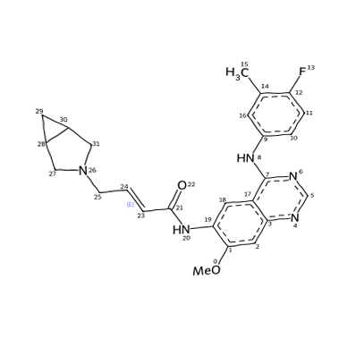 COc1cc2ncnc(Nc3ccc(F)c(C)c3)c2cc1NC(=O)/C=C/CN1CC2CC2C1